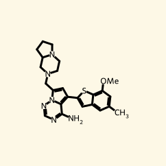 COc1cc(C)cc2cc(-c3cc(CN4CCN5CCCC5C4)n4ncnc(N)c34)sc12